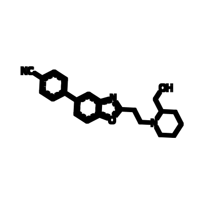 N#Cc1ccc(-c2ccc3oc(CCN4CCCCC4CO)nc3c2)cc1